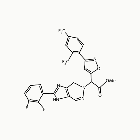 COC(=O)C(c1cc(-c2ccc(C(F)(F)F)cc2C(F)(F)F)no1)N1Cc2nc(-c3cccc(F)c3F)[nH]c2C=N1